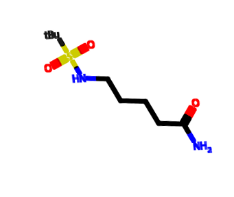 CC(C)(C)S(=O)(=O)NCCCCC(N)=O